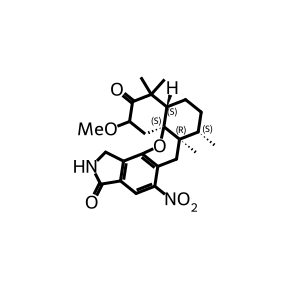 COC1C[C@@]23Oc4c5c(cc([N+](=O)[O-])c4C[C@]2(C)[C@@H](C)CC[C@H]3C(C)(C)C1=O)C(=O)NC5